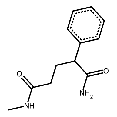 CNC(=O)CCC(C(N)=O)c1ccccc1